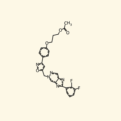 CC(=O)OCCCOc1ccc(-c2cc(Cn3cc4nc(-c5cccc(F)c5F)nc-4cn3)on2)cc1